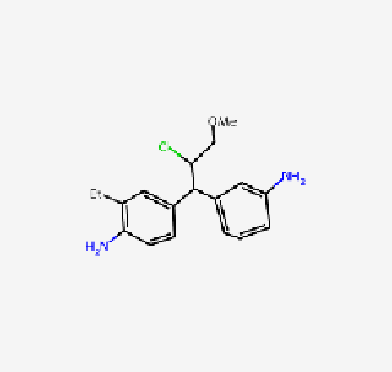 CCc1cc(C(c2cccc(N)c2)C(Cl)COC)ccc1N